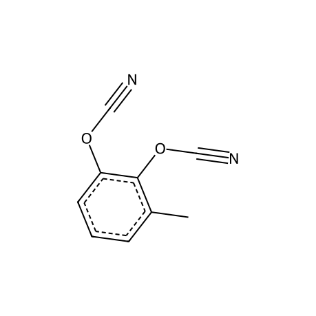 Cc1cccc(OC#N)c1OC#N